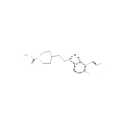 C/C=C/c1c(NC(C)=O)ccc2c(CCC3CCN(C(=O)OC(C)(C)C)CC3)noc12